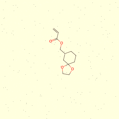 C=CC(=O)OCC1CCCC2(C1)OCCO2